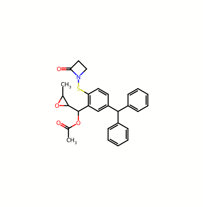 CC(=O)OC(c1cc(C(c2ccccc2)c2ccccc2)ccc1SN1CCC1=O)C1OC1C